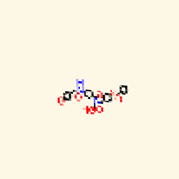 COc1ccc(CC(=O)Nc2ccc(C(=O)N(CC(=O)O)Cc3ccc(OC(=O)c4ccccc4)cc3)cc2)cc1